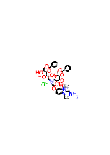 CCn1c(CN)[n+](CC)c2cc(OCCN(C[C@H](O)[C@@H](O)[C@@H]3OC(c4ccccc4)OC[C@H]3O)C[C@H](O)[C@@H](O)[C@@H]3OC(c4ccccc4)OC[C@H]3O)ccc21.[Cl-]